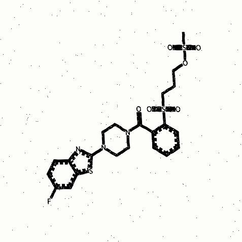 CS(=O)(=O)OCCCS(=O)(=O)c1ccccc1C(=O)N1CCN(c2nc3ccc(F)cc3s2)CC1